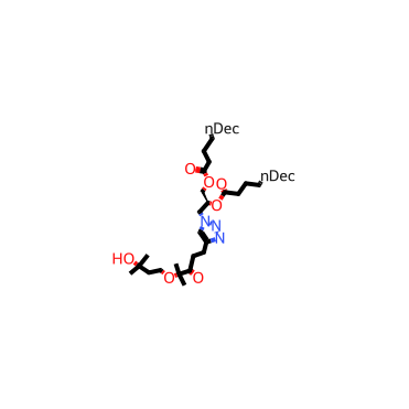 CCCCCCCCCCCCCC(=O)OC[C@H](Cn1cc(CCC(=O)C(C)(C)OCCC(C)(C)O)nn1)OC(=O)CCCCCCCCCCCCC